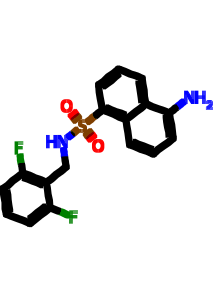 Nc1cccc2c(S(=O)(=O)NCc3c(F)cccc3F)cccc12